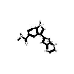 CN(C)C(=O)c1ccc2c(c1)c(-c1cc3nccnc3[nH]1)cn2C